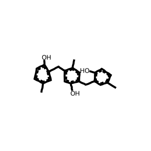 Cc1ccc(O)c(Cc2cc(O)c(Cc3cc(C)ccc3O)cc2C)c1